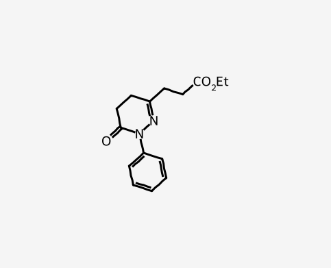 CCOC(=O)CCC1=NN(c2ccccc2)C(=O)CC1